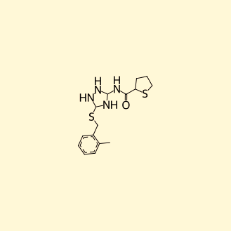 Cc1ccccc1CSC1NNC(NC(=O)C2CCCS2)N1